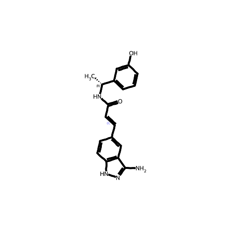 C[C@@H](NC(=O)/C=C/c1ccc2[nH]nc(N)c2c1)c1cccc(O)c1